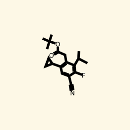 CC(C)c1c(F)c(C#N)cc(C2CC2)c1CC(=O)OC(C)(C)C